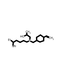 C=CC1CCC(CN(CCCCC(CC)CCC)CC(C)O)CC1